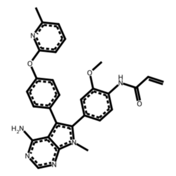 C=CC(=O)Nc1ccc(-c2c(-c3ccc(Oc4cccc(C)n4)cc3)c3c(N)ncnc3n2C)cc1OC